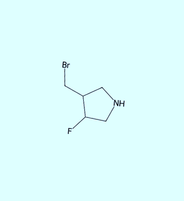 FC1CNCC1CBr